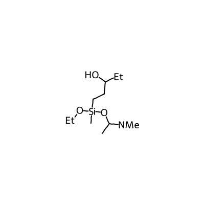 CCO[Si](C)(CCC(O)CC)OC(C)NC